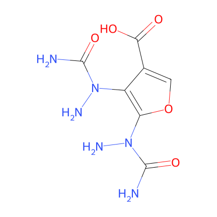 NC(=O)N(N)c1occ(C(=O)O)c1N(N)C(N)=O